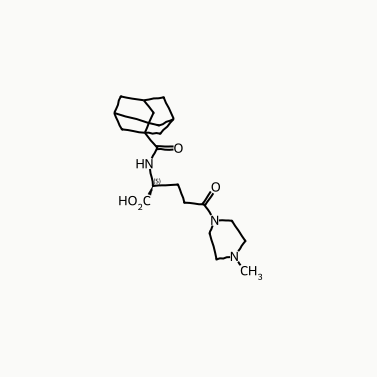 CN1CCN(C(=O)CC[C@H](NC(=O)C23CC4CC(CC(C4)C2)C3)C(=O)O)CC1